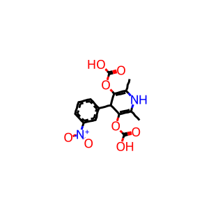 CC1=C(OC(=O)O)C(c2cccc([N+](=O)[O-])c2)C(OC(=O)O)=C(C)N1